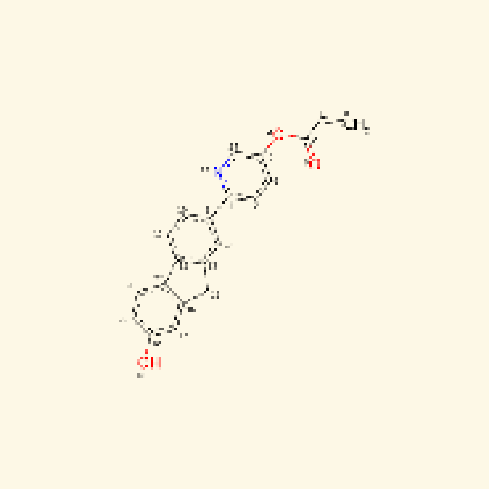 C=CC(=O)Oc1ccc(-c2ccc3c(c2)Cc2cc(O)ccc2-3)nc1